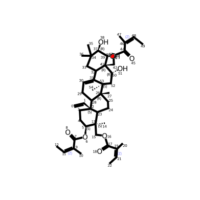 C=C[C@]12CC[C@H](OC(=O)/C(C)=C\C)[C@](C)(COC(=O)/C(C)=C\C)C1CC[C@]1(C)C2CC=C2C3CC(C)(C)[C@@H](O)[C@H](O)[C@]3(COC(=O)/C(C)=C\C)[C@H](O)C[C@]21C